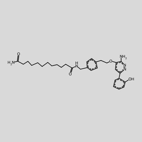 NC(=O)CCCCCCCCCCC(=O)NCc1ccc(CCOc2cc(-c3ccccc3O)nnc2N)cc1